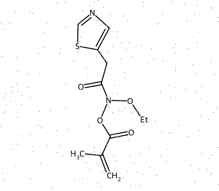 C=C(C)C(=O)ON(OCC)C(=O)Cc1cncs1